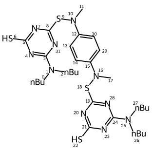 CCCCN(CCCC)c1nc(S)nc(SN(C)c2ccc(N(C)Sc3nc(S)nc(N(CCCC)CCCC)n3)cc2)n1